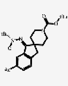 CC(=O)c1ccc2c(c1)C(=N[S@+]([O-])C(C)(C)C)C1(CCN(C(=O)OC(C)(C)C)CC1)C2